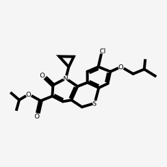 CC(C)COc1cc2c(cc1Cl)-c1c(cc(C(=O)OC(C)C)c(=O)n1C1CC1)CS2